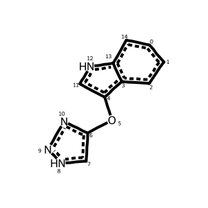 c1ccc2c(Oc3c[nH]nn3)c[nH]c2c1